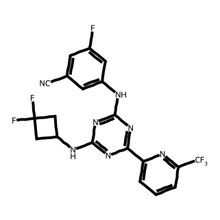 N#Cc1cc(F)cc(Nc2nc(NC3CC(F)(F)C3)nc(-c3cccc(C(F)(F)F)n3)n2)c1